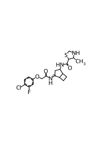 CC1NCSC1C(=O)NC1C[C@H](NC(=O)COc2ccc(Cl)c(F)c2)C2CCC12